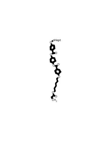 C=CC(=O)OCCCCCCOc1ccc(C(=O)Oc2ccc(OC(=O)c3ccc(OCCCCCCC)cc3)cc2)cc1